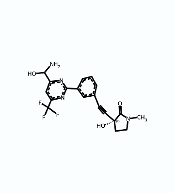 CN1CC[C@@](O)(C#Cc2cccc(-c3nc(C(N)O)cc(C(F)(F)F)n3)c2)C1=O